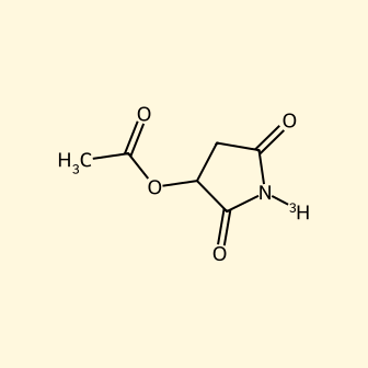 [3H]N1C(=O)CC(OC(C)=O)C1=O